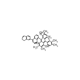 COc1c(C)cc(C)c2c(-c3ccc(C)c(C)c3)c3c(O)c(C)c(C)c(O)c3c(-c3cccc4c(-c5ccc6c(c5)CCC=C6)cccc34)c12